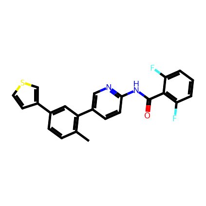 Cc1ccc(-c2ccsc2)cc1-c1ccc(NC(=O)c2c(F)cccc2F)nc1